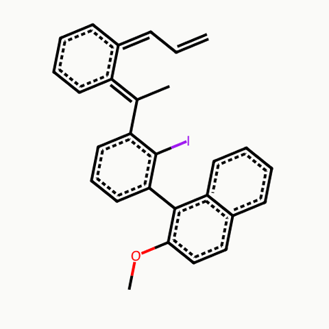 C=C/C=c1/cccc/c1=C(/C)c1cccc(-c2c(OC)ccc3ccccc23)c1I